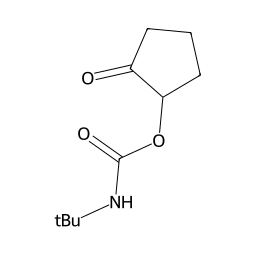 CC(C)(C)NC(=O)OC1CCCC1=O